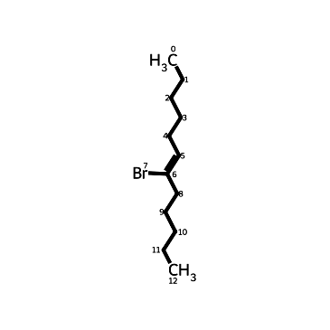 CCCCCC=C(Br)CCCCC